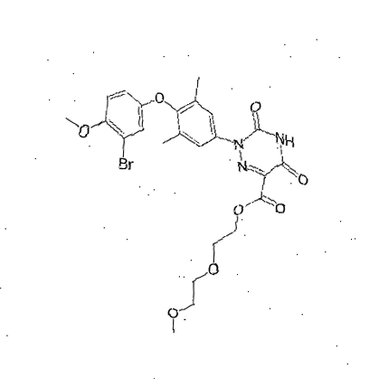 COCCOCCOC(=O)c1nn(-c2cc(C)c(Oc3ccc(OC)c(Br)c3)c(C)c2)c(=O)[nH]c1=O